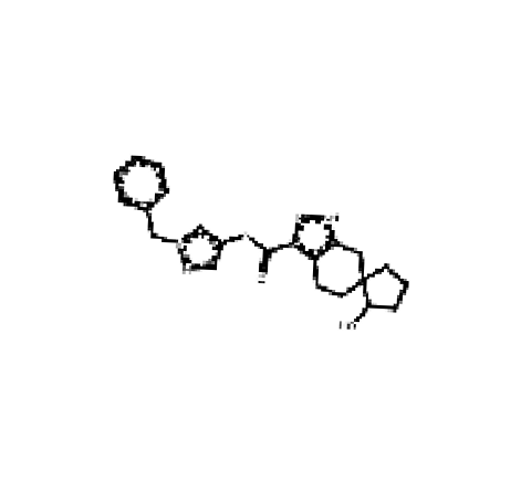 O=C(Nc1cnn(Cc2ccccc2)c1)c1n[nH]c2c1CCC1(CCCC1O)C2